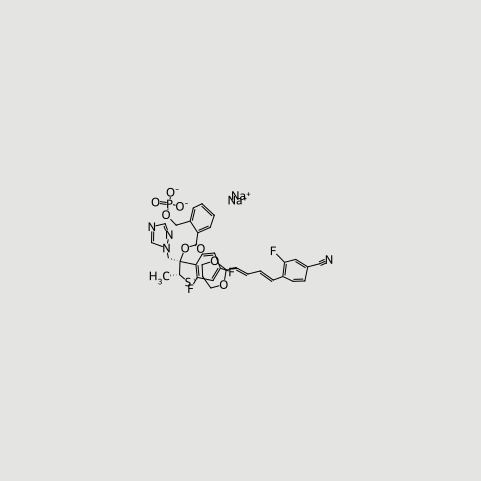 C[C@@H](S[C@H]1CO[C@H](C=CC=Cc2ccc(C#N)cc2F)OC1)[C@@](Cn1cncn1)(OC(=O)c1ccccc1COP(=O)([O-])[O-])c1ccc(F)cc1F.[Na+].[Na+]